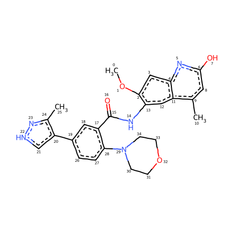 COc1cc2nc(O)cc(C)c2cc1NC(=O)c1cc(-c2c[nH]nc2C)ccc1N1CCOCC1